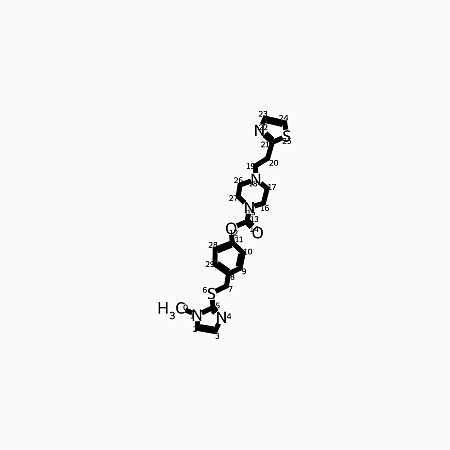 Cn1ccnc1SCc1ccc(OC(=O)N2CCN(CCc3nccs3)CC2)cc1